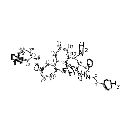 CCCNC(=O)c1c(N)c2cccc(-c3cc(OCc4ccnnc4)ccc3F)c2[nH]c1=O